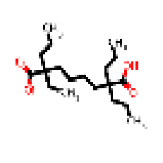 CCCC(CC)(CCCCC(CCC)(CCC)C(=O)O)C(=O)O